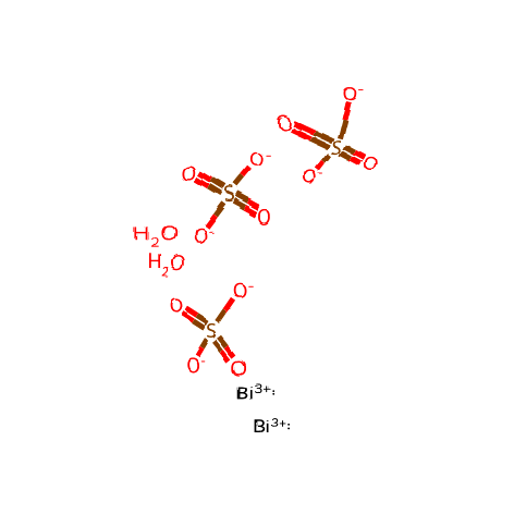 O.O.O=S(=O)([O-])[O-].O=S(=O)([O-])[O-].O=S(=O)([O-])[O-].[Bi+3].[Bi+3]